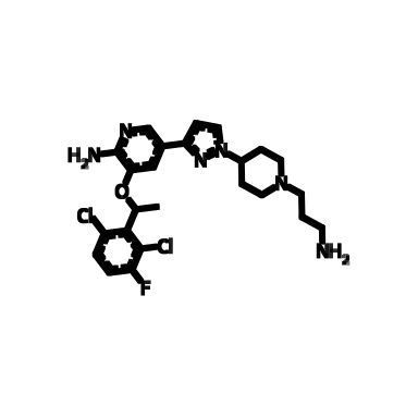 CC(Oc1cc(-c2ccn(C3CCN(CCCN)CC3)n2)cnc1N)c1c(Cl)ccc(F)c1Cl